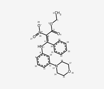 CCOC(=O)/C(=C(/Nc1cccc(N2CCOCC2)c1)c1ccccc1)[N+](=O)[O-]